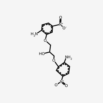 Nc1ccc([N+](=O)[O-])cc1OCC(O)COc1cc([N+](=O)[O-])ccc1N